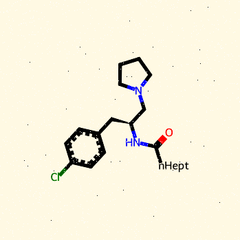 CCCCCCCC(=O)N[C@@H](Cc1ccc(Cl)cc1)CN1CCCC1